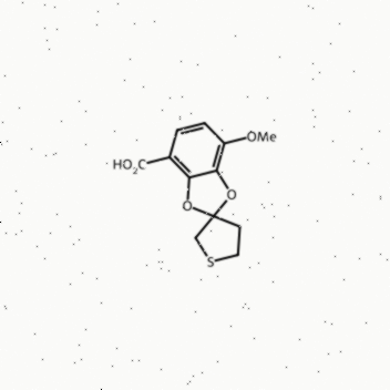 COc1ccc(C(=O)O)c2c1OC1(CCSC1)O2